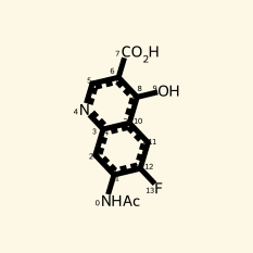 CC(=O)Nc1cc2ncc(C(=O)O)c(O)c2cc1F